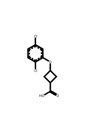 O=C(O)C1CC(Oc2cc(Cl)ccc2Cl)C1